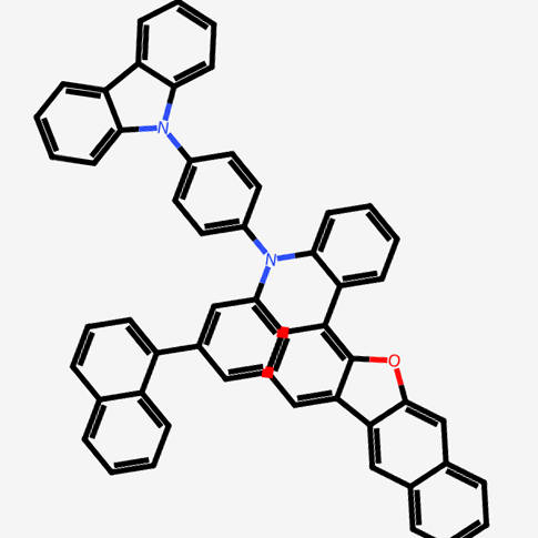 c1cc(-c2cccc3ccccc23)cc(N(c2ccc(-n3c4ccccc4c4ccccc43)cc2)c2ccccc2-c2cccc3c2oc2cc4ccccc4cc23)c1